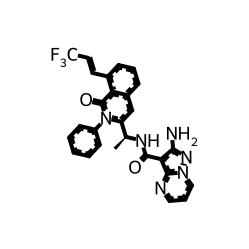 C[C@H](NC(=O)c1c(N)nn2cccnc12)c1cc2cccc(/C=C/C(F)(F)F)c2c(=O)n1-c1ccccc1